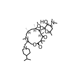 CO[C@]1(C)C[C@@H](C)CN(C)[C@H](CN2CCC(C(C)C)CC2)COC(=O)C(C)(C)C(=O)[C@H](C)[C@H]1O[C@@H]1O[C@H](C)C[C@H](N(C)C)[C@H]1O